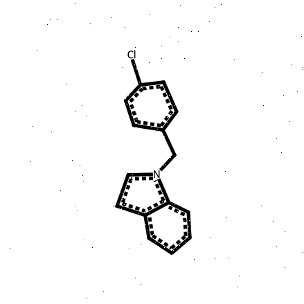 Clc1ccc(Cn2c[c]c3ccccc32)cc1